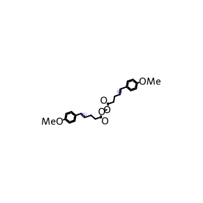 COc1ccc(/C=C/CCC(=O)OOC(=O)CC/C=C/c2ccc(OC)cc2)cc1